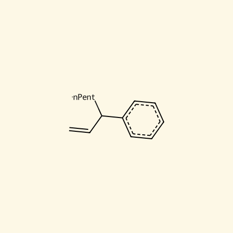 C=CC([CH]CCCC)c1ccccc1